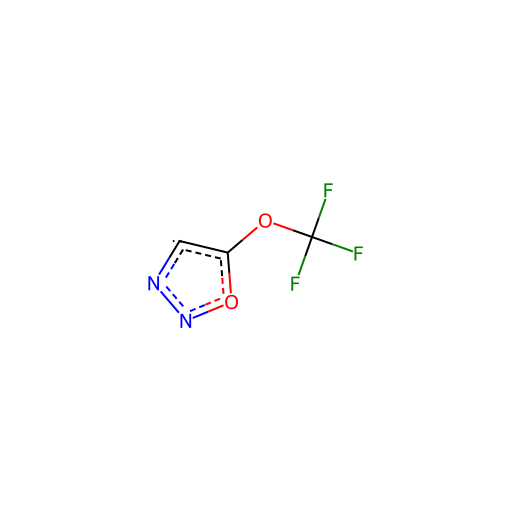 FC(F)(F)Oc1[c]nno1